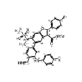 CNC(=O)c1c(-c2ccc(F)cc2)oc2cc(N(C)S(C)(=O)=O)c(-c3ccc(C=N)c(Nc4ccc(Cl)cc4)c3)cc12